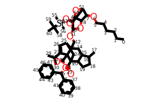 CCCCCCOC1C2OC3(OCC45CC6C(C)CCC6C6(C=O)CC4C=C(C(C)C)C65C(=O)OC(c4ccccc4)c4ccccc4)OC2OC1C3O[Si](C)(C)C(C)(C)C